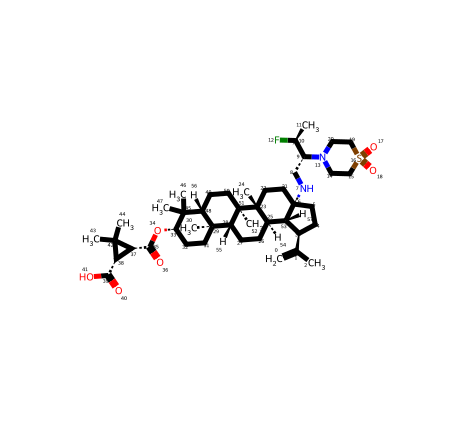 C=C(C)[C@@H]1CC[C@]2(NC[C@H]([C@H](C)F)N3CCS(=O)(=O)CC3)CC[C@]3(C)[C@H](CC[C@@H]4[C@@]5(C)CC[C@H](OC(=O)[C@@H]6[C@H](C(=O)O)C6(C)C)C(C)(C)[C@@H]5CC[C@]43C)[C@@H]12